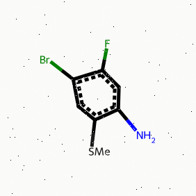 CSc1cc(Br)c(F)cc1N